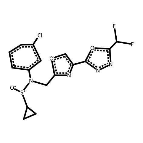 [O-][S+](C1CC1)N(Cc1nc(-c2nnc(C(F)F)o2)co1)c1cccc(Cl)c1